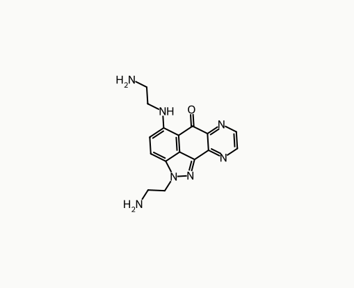 NCCNc1ccc2c3c(nn2CCN)-c2nccnc2C(=O)c13